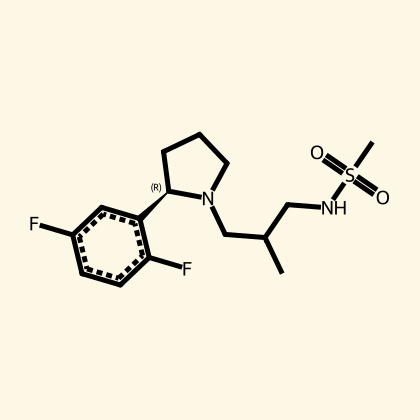 C[C](CNS(C)(=O)=O)CN1CCC[C@@H]1c1cc(F)ccc1F